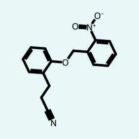 N#CCCc1ccccc1OCc1ccccc1[N+](=O)[O-]